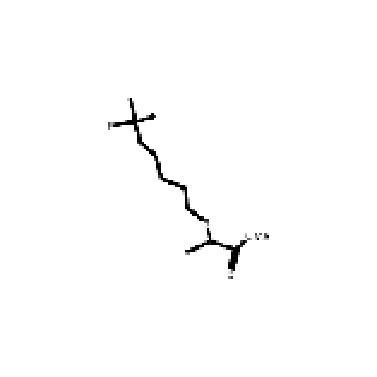 COC(=O)C(C)SCCCCCC(C)(F)F